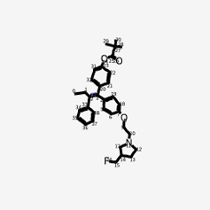 CC/C(=C(/c1ccc(OCCN2CCC(CF)C2)cc1)c1ccc(OC(=O)C(C)(C)C)cc1)c1ccccc1